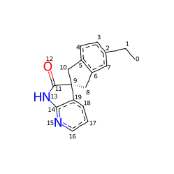 CCc1ccc2c(c1)C[C@@]1(C2)C(=O)Nc2ncccc21